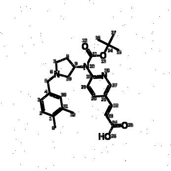 Cc1ccc(CN2CC[C@@H](N(C(=O)OC(C)(C)C)c3ccc(C=CC(=O)O)cn3)C2)cc1C